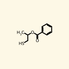 CC(CS)OC(=O)c1ccccc1